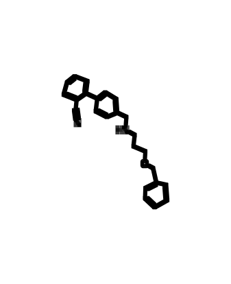 N#Cc1ccccc1-c1ccc(CNCCCOCc2ccccc2)cc1